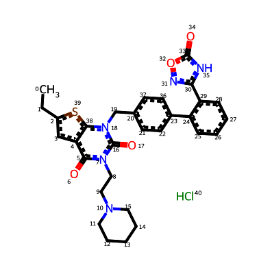 CCc1cc2c(=O)n(CCN3CCCCC3)c(=O)n(Cc3ccc(-c4ccccc4-c4noc(=O)[nH]4)cc3)c2s1.Cl